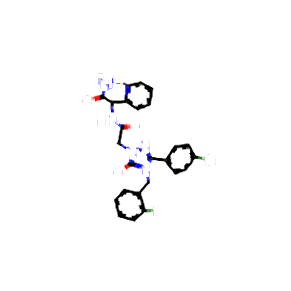 NC(=O)C(NC(=O)Cn1nc(-c2ccc(Cl)cc2)n(Cc2ccccc2F)c1=O)c1ccccc1C(F)(F)F